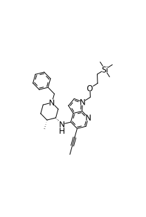 CC#Cc1cnc2c(ccn2COCC[Si](C)(C)C)c1N[C@H]1CN(Cc2ccccc2)CC[C@H]1C